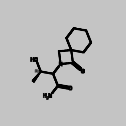 C[C@@H](O)C(C(N)=O)N1CC2(CCCCC2)C1=O